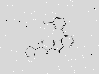 O=C(Nc1nc2cccc(-c3cccc(Cl)c3)n2n1)C1CCCC1